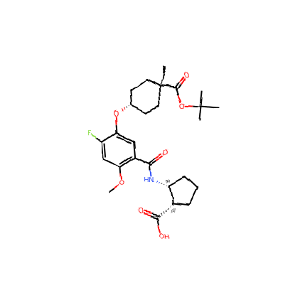 COc1cc(F)c(O[C@H]2CC[C@@](C)(C(=O)OC(C)(C)C)CC2)cc1C(=O)N[C@@H]1CCC[C@@H]1C(=O)O